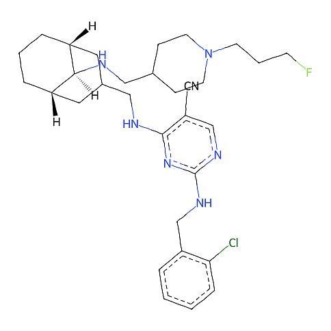 N#Cc1cnc(NCc2ccccc2Cl)nc1NCC1C[C@H]2CCC[C@@H](C1)[C@@H]2NCC1CCN(CCCF)CC1